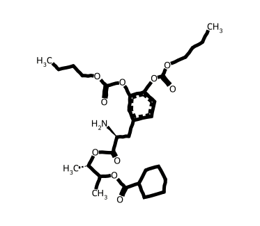 CCCCOC(=O)Oc1ccc(C[C@H](N)C(=O)O[C@@H](C)C(C)OC(=O)C2CCCCC2)cc1OC(=O)OCCCC